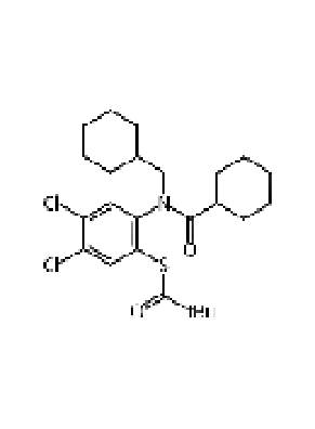 CC(C)(C)C(=O)Sc1cc(Cl)c(Cl)cc1N(CC1CCCCC1)C(=O)C1CCCCC1